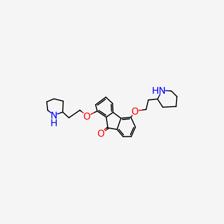 O=C1c2cccc(OCCC3CCCCN3)c2-c2cccc(OCCC3CCCCN3)c21